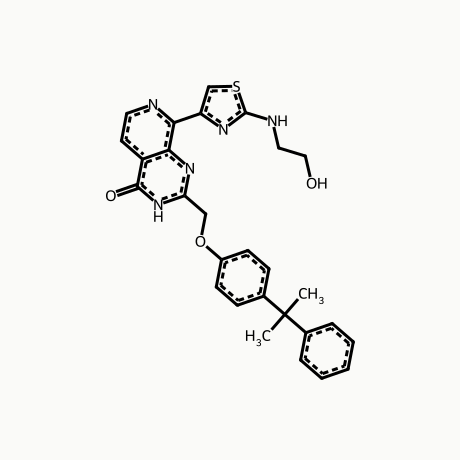 CC(C)(c1ccccc1)c1ccc(OCc2nc3c(-c4csc(NCCO)n4)nccc3c(=O)[nH]2)cc1